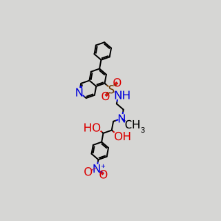 CN(CCNS(=O)(=O)c1cc(-c2ccccc2)cc2cnccc12)CC(O)C(O)c1ccc([N+](=O)[O-])cc1